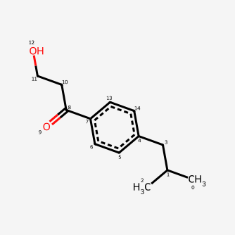 CC(C)Cc1ccc(C(=O)CCO)cc1